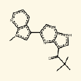 Cn1cc(-c2cnc3[nH]cc(C(=O)C(C)(C)C)c3n2)c2cccnc21